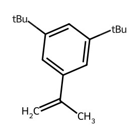 C=C(C)c1cc(C(C)(C)C)cc(C(C)(C)C)c1